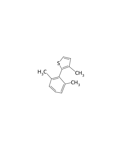 Cc1ccsc1-c1c(C)cccc1C